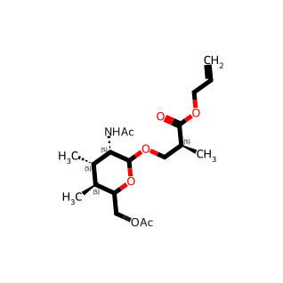 C=CCOC(=O)[C@@H](C)COC1OC(COC(C)=O)[C@@H](C)[C@H](C)[C@@H]1NC(C)=O